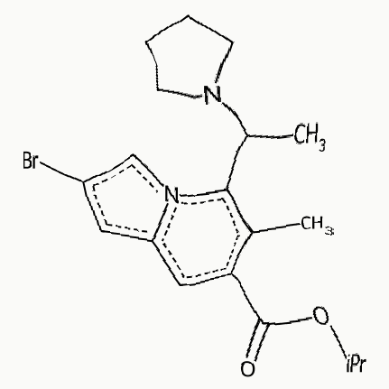 Cc1c(C(=O)OC(C)C)cc2cc(Br)cn2c1C(C)N1CCCC1